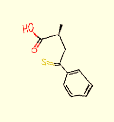 C[C@@H](CC(=S)c1ccccc1)C(=O)O